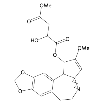 COC(=O)CC(O)C(=O)OC1C(OC)=CC23CCCN2CCc2cc4c(cc2C13)OCO4